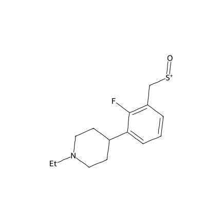 CCN1CCC(c2cccc(C[S+]=O)c2F)CC1